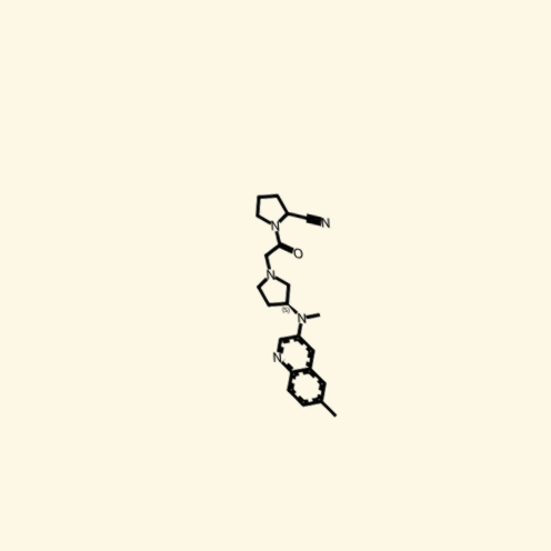 Cc1ccc2ncc(N(C)[C@H]3CCN(CC(=O)N4CCCC4C#N)C3)cc2c1